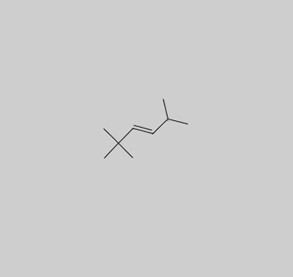 C[C](C)C=CC(C)(C)C